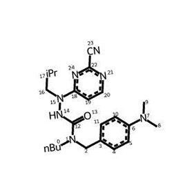 CCCCN(Cc1ccc(N(C)C)cc1)C(=O)NN(CC(C)C)c1ccnc(C#N)n1